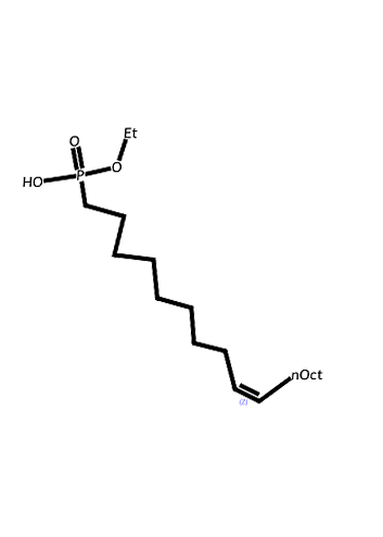 CCCCCCCC/C=C\CCCCCCCCP(=O)(O)OCC